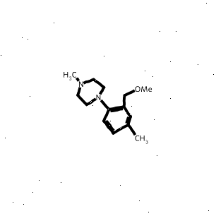 COCc1cc(C)ccc1N1CCN(C)CC1